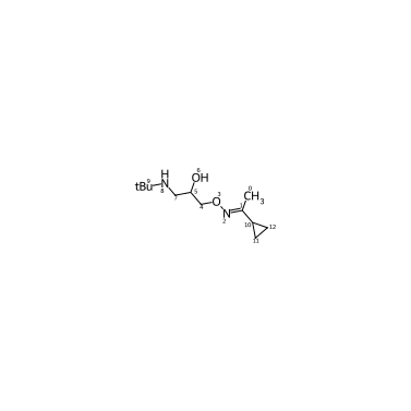 CC(=NOCC(O)CNC(C)(C)C)C1CC1